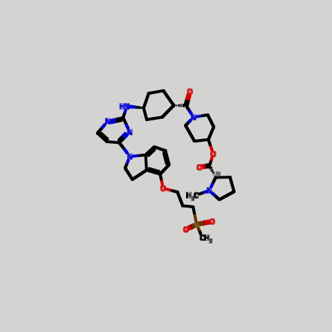 CN1CCC[C@H]1C(=O)OC1CCN(C(=O)[C@H]2CC[C@H](Nc3nccc(N4CCc5c(OCCCS(C)(=O)=O)cccc54)n3)CC2)CC1